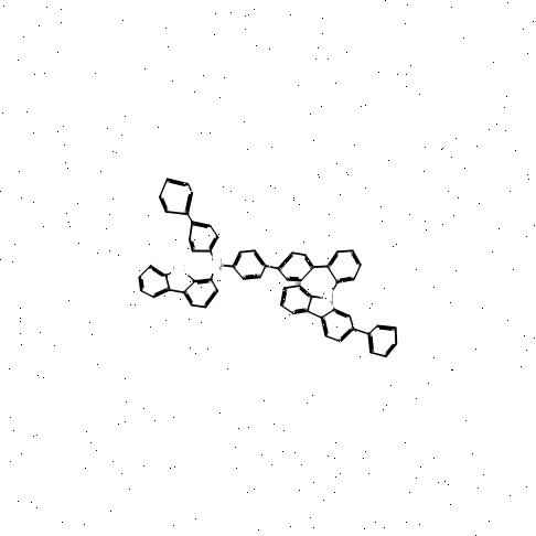 c1ccc(-c2ccc(N(c3ccc(-c4ccc(-c5ccccc5-n5c6ccccc6c6ccc(-c7ccccc7)cc65)cc4)cc3)c3cccc4c3oc3ccccc34)cc2)cc1